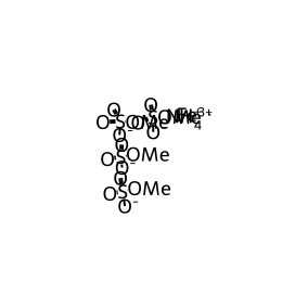 COS(=O)(=O)[O-].COS(=O)(=O)[O-].COS(=O)(=O)[O-].COS(=O)(=O)[O-].[Fe+3].[NH4+]